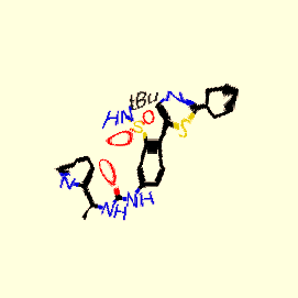 C[C@H](NC(=O)Nc1ccc(-c2cnc(C3CCCCC3)s2)c(S(=O)(=O)NC(C)(C)C)c1)c1ccccn1